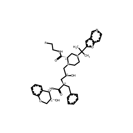 CC(C)(c1cc2cnccc2o1)N1CCN(C[C@@H](O)C[C@@H](Cc2ccccc2)C(=O)N[C@H]2c3ccccc3OC[C@H]2O)[C@H](C(=O)NCCF)C1